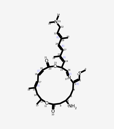 CS/C=C1CCC(N)CC(=O)OC(C)C/C(C)=C/C=C\C(=O)OC(/C=C(C)/C=C/C(C)=C/CN(C)C)/C=N/1